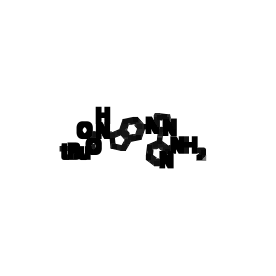 CC(C)(C)OC(=O)NC1CCc2cc(-n3ccnc3-c3cccnc3N)ccc21